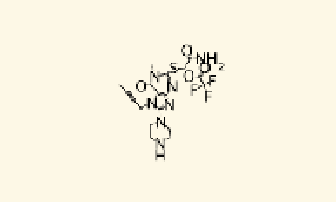 CC#CCn1c(N2CCNCC2)nc2nc(SC(OC(=O)C(F)(F)F)C(N)=O)n(C)c(=O)c21